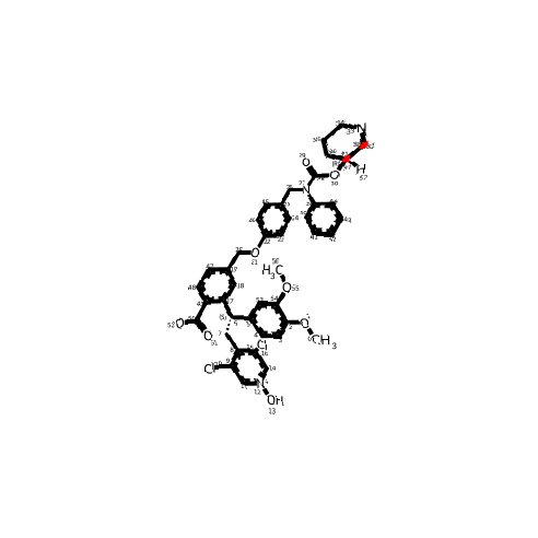 COc1ccc([C@H](Cc2c(Cl)c[n+](O)cc2Cl)c2cc(COc3ccc(CN(C(=O)O[C@H]4CN5CCC4CC5)c4ccccc4)cc3)ccc2C(=O)[O-])cc1OC